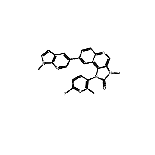 Cc1nc(F)ccc1-n1c(=O)n(C)c2cnc3ccc(-c4cnc5c(ccn5C)c4)cc3c21